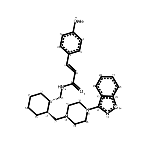 COc1ccc(/C=C/C(=O)NC[C@H]2CCCC[C@@H]2CN2CCN(c3nsc4ccccc34)CC2)cc1